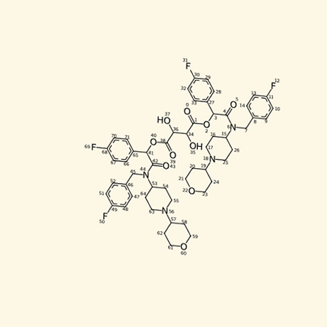 O=C(OC(C(=O)N(Cc1ccc(F)cc1)C1CCN(C2CCOCC2)CC1)c1ccc(F)cc1)C(O)C(O)C(=O)OC(C(=O)N(Cc1ccc(F)cc1)C1CCN(C2CCOCC2)CC1)c1ccc(F)cc1